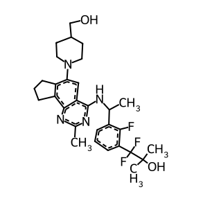 Cc1nc(NC(C)c2cccc(C(F)(F)C(C)(C)O)c2F)c2cc(N3CCC(CO)CC3)c3c(c2n1)CCC3